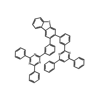 c1ccc(-c2cc(-c3ccccc3)nc(-c3cccc(-c4cc5sc6ccccc6c5cc4-c4cccc(-c5nc(-c6ccccc6)nc(-c6ccccc6)n5)c4)c3)n2)cc1